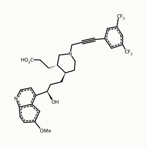 COc1ccc2nccc([C@H](O)CC[C@@H]3CCN(CC#Cc4cc(C(F)(F)F)cc(C(F)(F)F)c4)C[C@H]3CCC(=O)O)c2c1